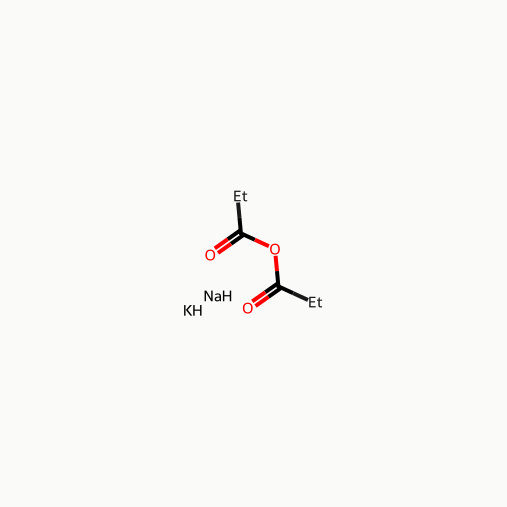 CCC(=O)OC(=O)CC.[KH].[NaH]